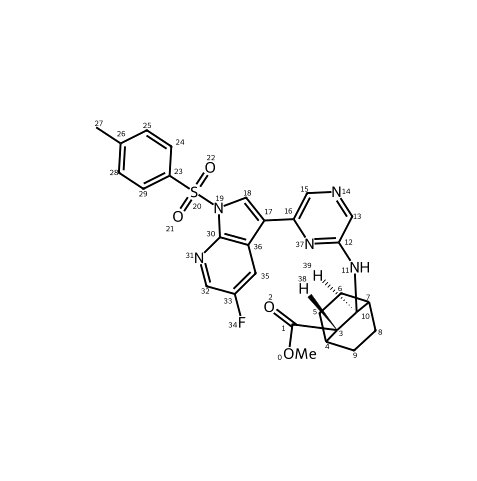 COC(=O)[C@H]1C2CCC(CC2)[C@@H]1Nc1cncc(-c2cn(S(=O)(=O)c3ccc(C)cc3)c3ncc(F)cc23)n1